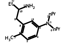 CCCN(CCC)c1ccc(C)c(CC(N)CC)c1